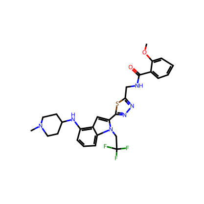 COc1ccccc1C(=O)NCc1nnc(-c2cc3c(NC4CCN(C)CC4)cccc3n2CC(F)(F)F)s1